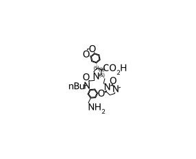 CCCCN(C(=O)CN1C[C@H](c2ccc3c(c2)OCO3)[C@@H](C(=O)O)[C@@H]1CCN1C(=O)CCN(C)C1=O)c1cccc(CN)c1